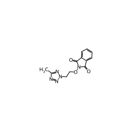 Cc1nnn(CCON2C(=O)c3ccccc3C2=O)n1